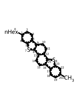 CCCCCCc1ccc2c(c1)sc1c2ccc2c1ccc1c3ccc(C)cc3sc12